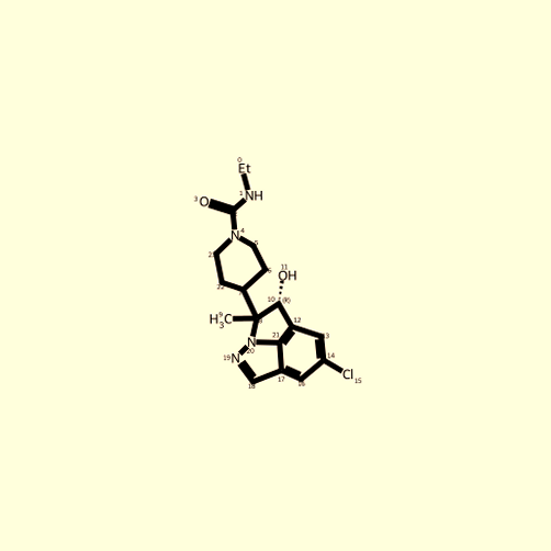 CCNC(=O)N1CCC(C2(C)[C@H](O)c3cc(Cl)cc4cnn2c34)CC1